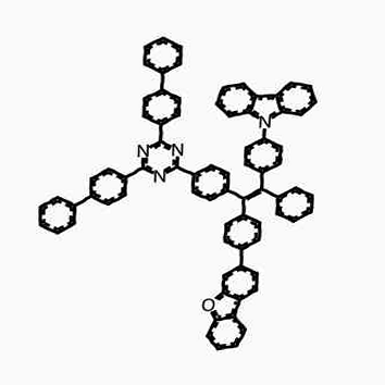 c1ccc(/C(=C(\c2ccc(-c3ccc4c(c3)oc3ccccc34)cc2)c2ccc(-c3nc(-c4ccc(-c5ccccc5)cc4)nc(-c4ccc(-c5ccccc5)cc4)n3)cc2)c2ccc(-n3c4ccccc4c4ccccc43)cc2)cc1